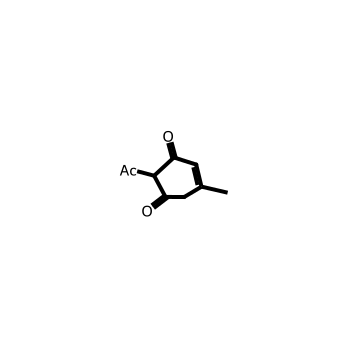 CC(=O)C1C(=O)C=C(C)CC1=O